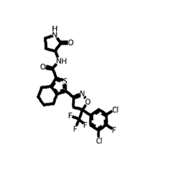 O=C(NC1CCNC1=O)c1sc(C2=NOC(c3cc(Cl)c(F)c(Cl)c3)(C(F)(F)F)C2)c2c1CCCC2